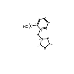 O=C(O)c1ccccc1CN1[CH]CCC1